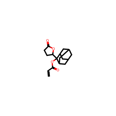 C=CC(=O)OC1(C2CCC(=O)O2)C2CC3CC(C2)CC1C3